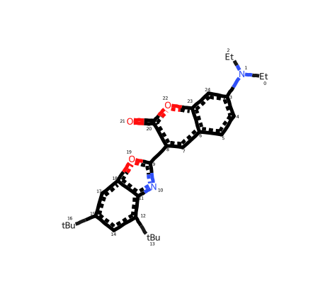 CCN(CC)c1ccc2cc(-c3nc4c(C(C)(C)C)cc(C(C)(C)C)cc4o3)c(=O)oc2c1